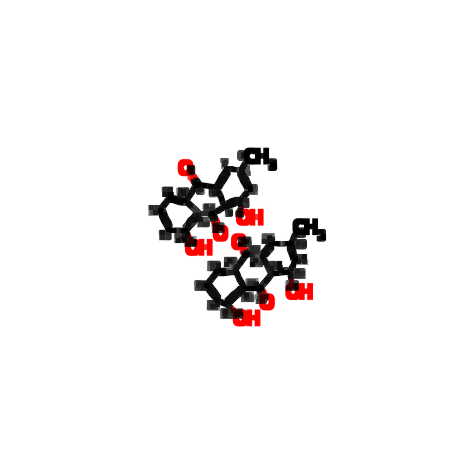 Cc1cc(O)c2c(c1)C(=O)c1cccc(O)c1C2=O.Cc1cc(O)c2c(c1)C(=O)c1cccc(O)c1C2=O